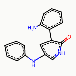 Nc1ccccc1-c1cc(Nc2ccccc2)c[nH]c1=O